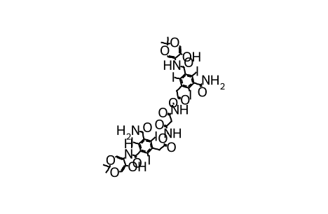 CC1(C)OC=C(O)C(NC(=O)c2c(I)c(CC(=O)ONC(=O)CC(=O)NOC(=O)Cc3c(I)c(C(N)=O)c(I)c(C(=O)NC4=COC(C)(C)OC=C4O)c3I)c(I)c(C(N)=O)c2I)=CO1